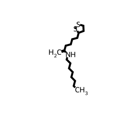 C=C(CCCCC1CCSS1)NCCCCCCCC